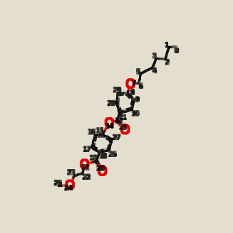 CCCCCCCOc1ccc(C(=O)Oc2ccc(C(=O)OCCOC)cc2)cc1